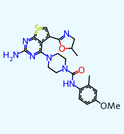 COc1ccc(NC(=O)N2CCN(c3nc(N)nc4scc(C5=NCC(C)O5)c34)CC2)c(C)c1